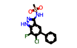 CS(=O)(=O)Nc1n[nH]c2c(F)c(Cl)c(-c3ccccc3)cc12